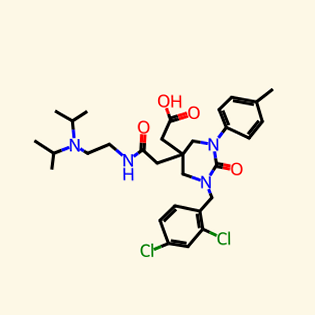 Cc1ccc(N2CC(CC(=O)O)(CC(=O)NCCN(C(C)C)C(C)C)CN(Cc3ccc(Cl)cc3Cl)C2=O)cc1